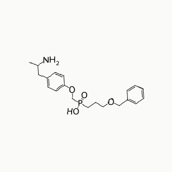 CC(N)Cc1ccc(OCP(=O)(O)CCCOCc2ccccc2)cc1